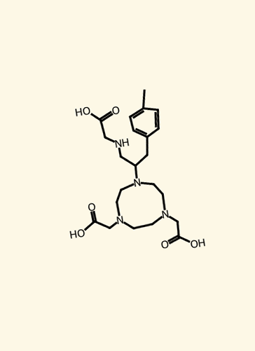 Cc1ccc(CC(CNCC(=O)O)N2CCN(CC(=O)O)CCN(CC(=O)O)CC2)cc1